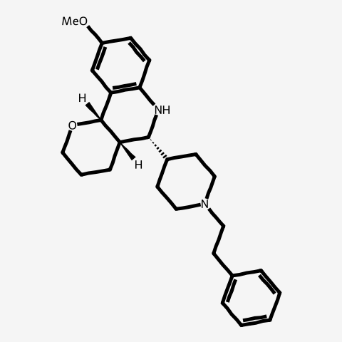 COc1ccc2c(c1)[C@H]1OCCC[C@H]1[C@@H](C1CCN(CCc3ccccc3)CC1)N2